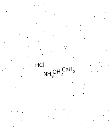 Cl.N.O.[CaH2]